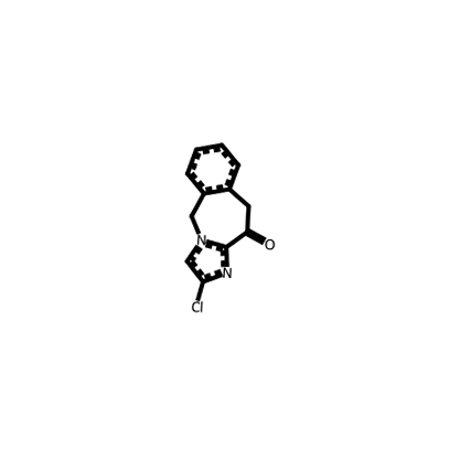 O=C1Cc2ccccc2Cn2cc(Cl)nc21